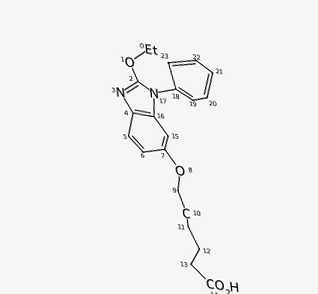 CCOc1nc2ccc(OCCCCCC(=O)O)cc2n1-c1ccccc1